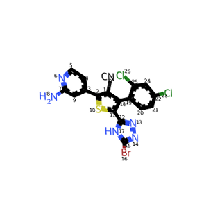 N#Cc1c(-c2ccnc(N)c2)sc(-c2nnc(Br)[nH]2)c1-c1ccc(Cl)cc1Cl